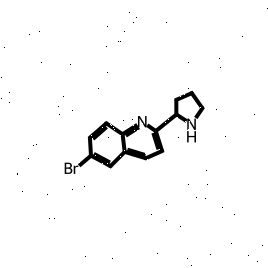 Brc1ccc2nc(C3CCCN3)ccc2c1